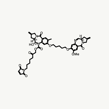 C=C1C[C@H]2C=Nc3cc(OCCCCCOc4cc5c(cc4C)C(=O)N4CC(=C)C[C@H]4[C@H](O)N5C(=O)OCC(=O)CCCCCN4C(=O)C=CC4=O)c(OC)cc3C(=O)N2C1